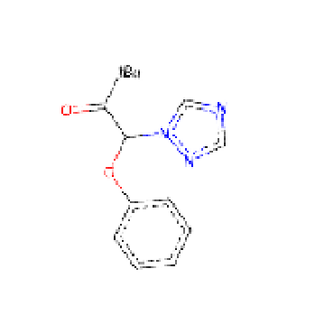 CC(C)(C)C(=O)C(Oc1ccccc1)n1cncn1